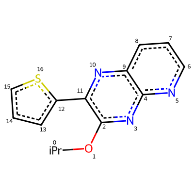 CC(C)Oc1nc2ncccc2nc1-c1cccs1